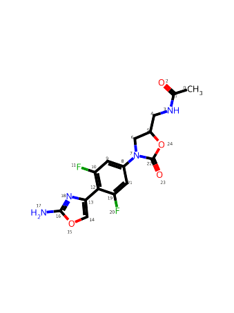 CC(=O)NCC1CN(c2cc(F)c(-c3coc(N)n3)c(F)c2)C(=O)O1